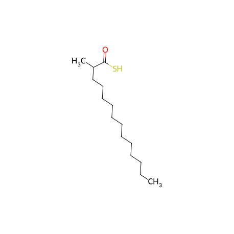 CCCCCCCCCCCCC(C)C(=O)S